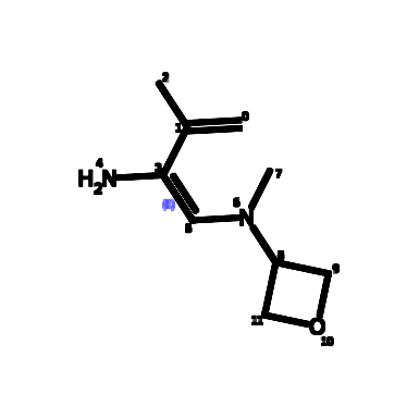 C=C(C)/C(N)=C\N(C)C1COC1